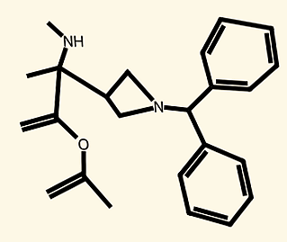 C=C(C)OC(=C)C(C)(NC)C1CN(C(c2ccccc2)c2ccccc2)C1